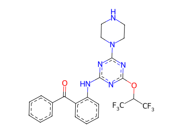 O=C(c1ccccc1)c1ccccc1Nc1nc(OC(C(F)(F)F)C(F)(F)F)nc(N2CCNCC2)n1